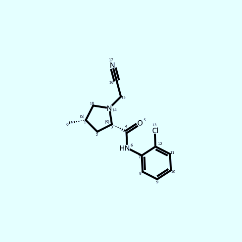 C[C@H]1C[C@@H](C(=O)Nc2ccccc2Cl)N(CC#N)C1